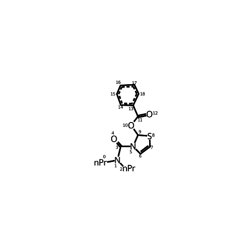 CCCN(CCC)C(=O)N1C=CSC1OC(=O)c1ccccc1